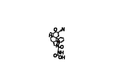 C[C@H]1C(=O)C(C#N)=C[C@]2(c3ccccc3)c3nn(C(=O)CNC(=O)O)cc3CC[C@H]12